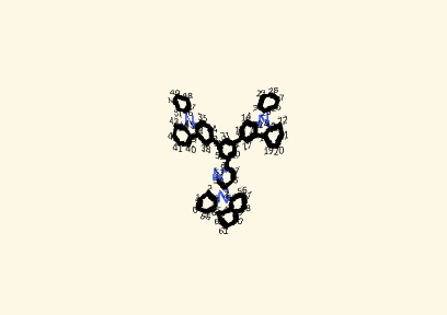 c1ccc(N(c2ccc(-c3cc(-c4ccc5c(c4)c4ccccc4n5-c4ccccc4)cc(-c4ccc5c(c4)c4ccccc4n5-c4ccccc4)c3)nc2)c2cccc3ccccc23)cc1